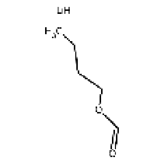 CCCCOC=O.[LiH]